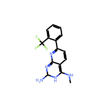 CNC1=c2ccc(-c3ccccc3C(F)(F)F)nc2=NC(N)N1